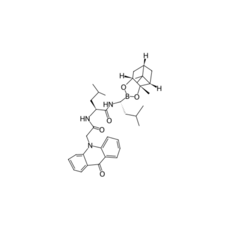 CC(C)C[C@H](NC(=O)[C@H](CC(C)C)NC(=O)Cn1c2ccccc2c(=O)c2ccccc21)B1O[C@@H]2C[C@@H]3C[C@@H](C3(C)C)[C@]2(C)O1